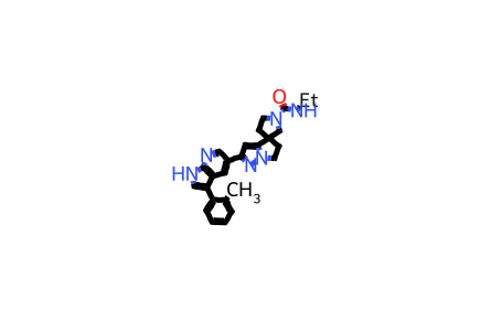 CCNC(=O)N1CCC2(CCn3nc(-c4cnc5[nH]cc(-c6ccccc6C)c5c4)cc32)C1